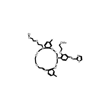 CCOCCOCCN1CCOCCOC/C=N/c2ccc(C)cc2OCCN(c2ccc(/N=N/c3nccs3)cc2OCCOC)CCOc2cc(C)ccc21